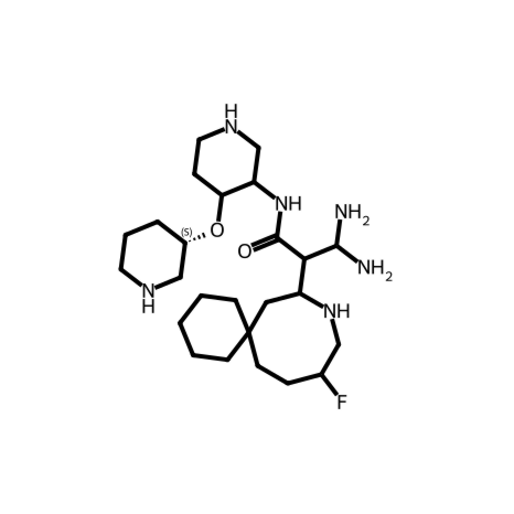 NC(N)C(C(=O)NC1CNCCC1O[C@H]1CCCNC1)C1CC2(CCCCC2)CCC(F)CN1